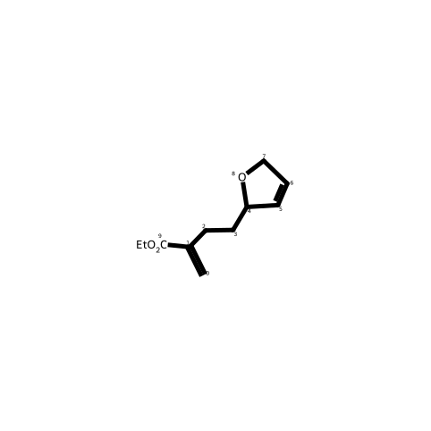 C=C(CCC1C=CCO1)C(=O)OCC